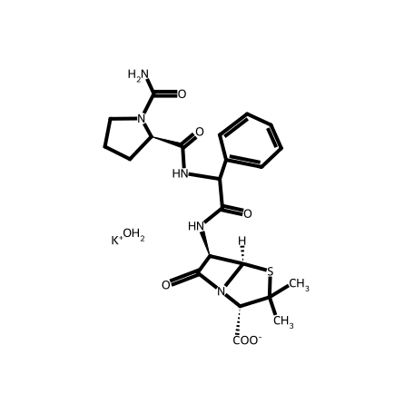 CC1(C)S[C@@H]2[C@H](NC(=O)C(NC(=O)[C@H]3CCCN3C(N)=O)c3ccccc3)C(=O)N2[C@H]1C(=O)[O-].O.[K+]